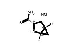 Cl.NC(=O)[C@@H]1C[C@@H]2C[C@@H]2N1